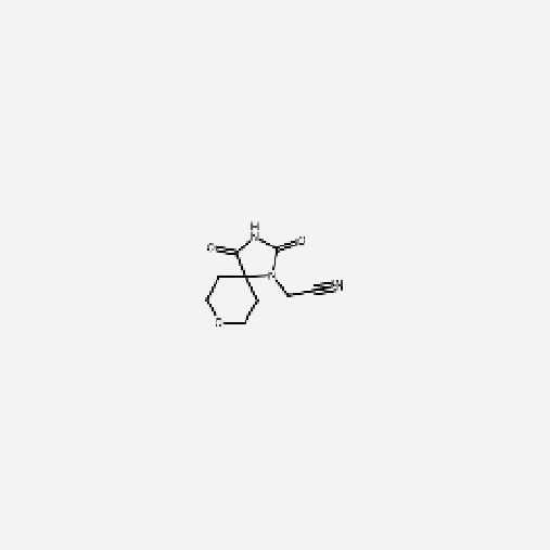 N#CCN1C(=O)NC(=O)C12CCOCC2